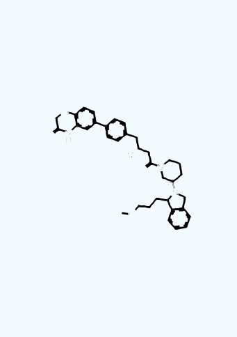 COCCCC1c2ccccc2CN1[C@@H]1CCCN(C(=O)C[C@H](N)Cc2ccc(-c3ccc4c(c3)NC(=O)CO4)cc2)C1